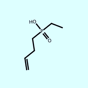 C=CCCP(=O)(O)CC